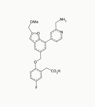 COCc1cc2cc(COc3ccc(F)cc3CC(=O)O)cc(-c3ccnc(CN)c3)c2o1